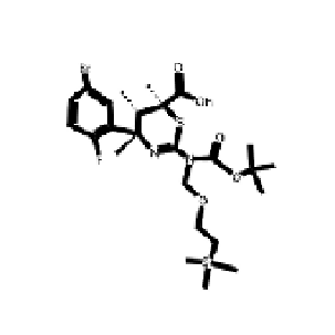 C[C@@H]1[C@@](C)(C(=O)O)SC(N(COCC[Si](C)(C)C)C(=O)OC(C)(C)C)=N[C@]1(C)c1cc(Br)ccc1F